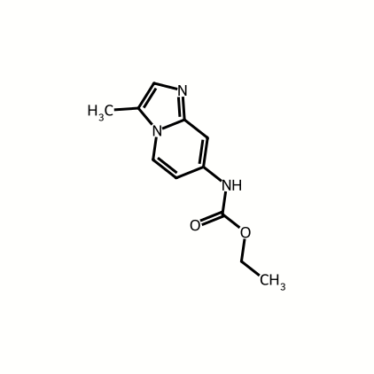 CCOC(=O)Nc1ccn2c(C)cnc2c1